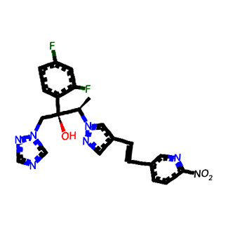 C[C@@H](n1cc(/C=C/c2ccc([N+](=O)[O-])nc2)cn1)[C@](O)(Cn1cncn1)c1ccc(F)cc1F